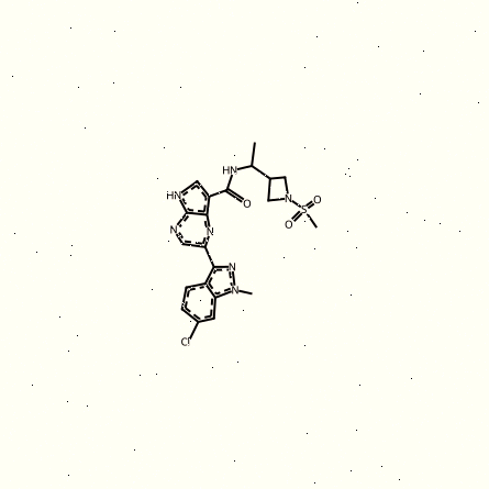 CC(NC(=O)c1c[nH]c2ncc(-c3nn(C)c4cc(Cl)ccc34)nc12)C1CN(S(C)(=O)=O)C1